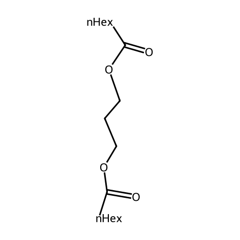 CCCCCCC(=O)OCCCOC(=O)CCCCCC